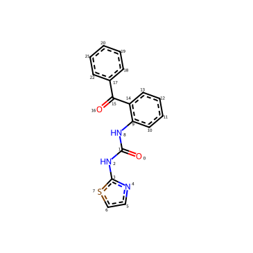 O=C(Nc1nccs1)Nc1ccccc1C(=O)c1ccccc1